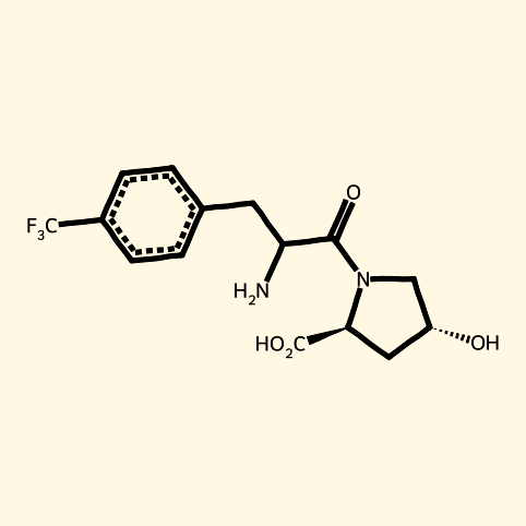 NC(Cc1ccc(C(F)(F)F)cc1)C(=O)N1C[C@H](O)C[C@H]1C(=O)O